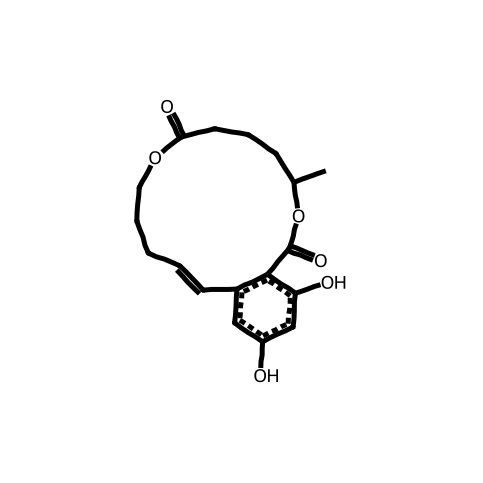 CC1CCCC(=O)OCCC/C=C/c2cc(O)cc(O)c2C(=O)O1